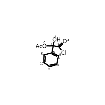 CC(=O)OC(O)(C(=O)Cl)c1ccccc1